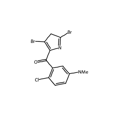 CNc1ccc(Cl)c(C(=O)C2=C(Br)CC(Br)=N2)c1